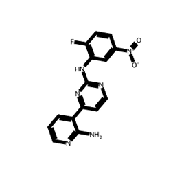 Nc1ncccc1-c1ccnc(Nc2cc([N+](=O)[O-])ccc2F)n1